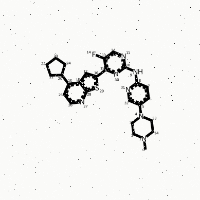 CN1CCN(c2ccc(Nc3ncc(F)c(-c4cc5c(C6CCCC6)ccnc5s4)n3)nc2)CC1